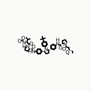 CC[C@@H]([CH]C(=O)N1CCC[C@H]1C(=O)Nc1ccc([C@@H]2CC[C@@H](c3ccc(NC(=O)[C@@H]4CCCN4C(=O)[C@@H](NC(=O)OC)C(C)C)cc3)N2c2ccc(C(C)(C)C)cc2)cc1)OC